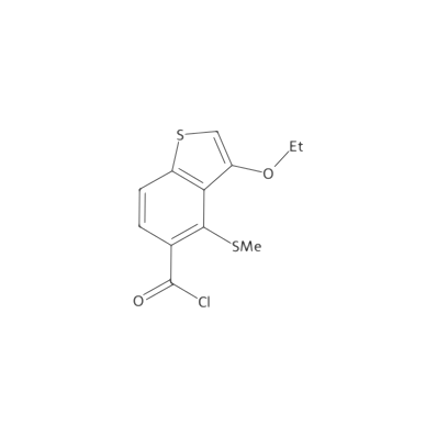 CCOc1csc2ccc(C(=O)Cl)c(SC)c12